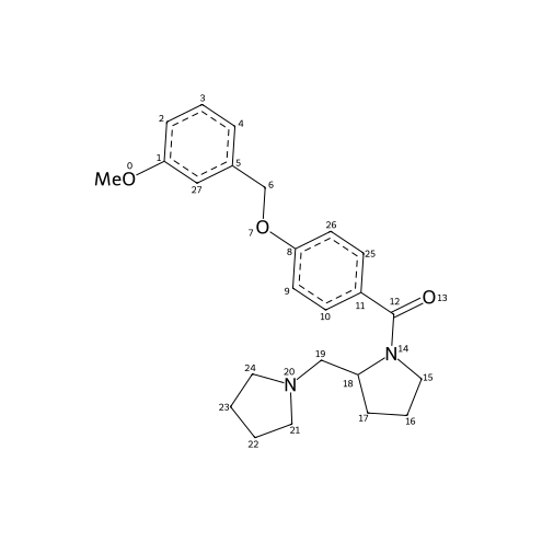 COc1cccc(COc2ccc(C(=O)N3CCCC3CN3CCCC3)cc2)c1